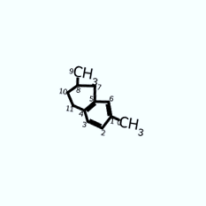 Cc1ccc2c(c1)CC(C)CC2